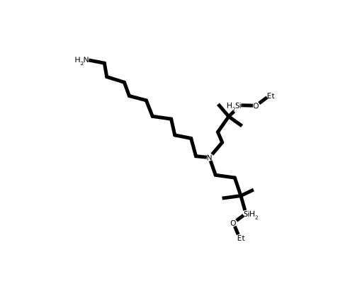 CCO[SiH2]C(C)(C)CCN(CCCCCCCCCCN)CCC(C)(C)[SiH2]OCC